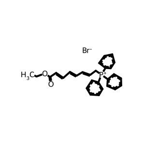 CCOC(=O)C=CC=CC=CC[P+](c1ccccc1)(c1ccccc1)c1ccccc1.[Br-]